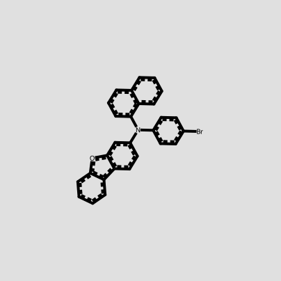 Brc1ccc(N(c2ccc3c(c2)oc2ccccc23)c2cccc3ccccc23)cc1